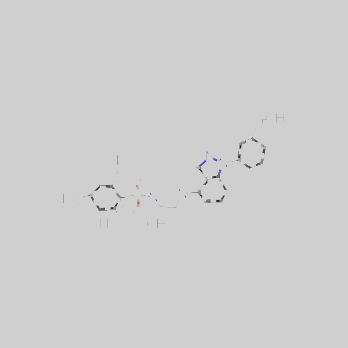 COc1cccc(-n2ncc3c(NC[C@H](C)NS(=O)(=O)c4c(C)cc(C)cc4C)cccc32)c1